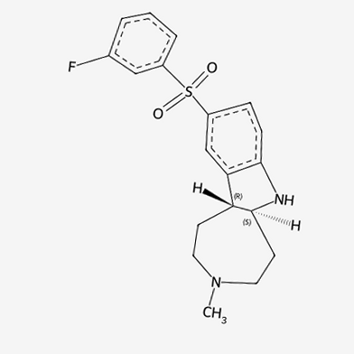 CN1CC[C@@H]2Nc3ccc(S(=O)(=O)c4cccc(F)c4)cc3[C@H]2CC1